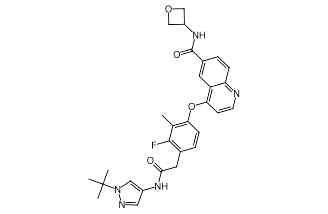 Cc1c(Oc2ccnc3ccc(C(=O)NC4COC4)cc23)ccc(CC(=O)Nc2cnn(C(C)(C)C)c2)c1F